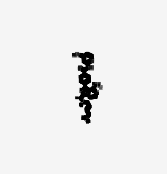 CCCc1ccnc(NC(=O)c2ccc(-c3nc([C@H](C)N(C)C/C=C/CN(C)C)n4ccnc(N)c34)cc2)c1